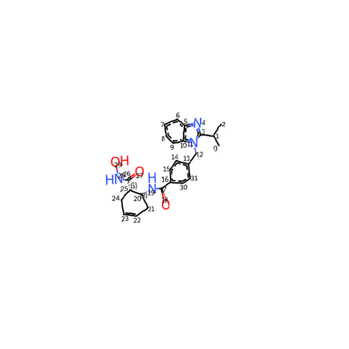 CC(C)c1nc2ccccc2n1Cc1ccc(C(=O)N[C@@H]2CC=CC[C@@H]2C(=O)NO)cc1